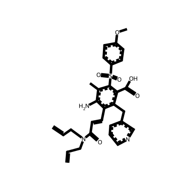 C=CCN(CC=C)C(=O)C=Cc1c(N)c(C)c(S(=O)(=O)c2ccc(OC)cc2)c(C(=O)O)c1Cc1cccnc1